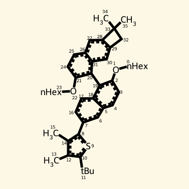 CCCCCCOc1ccc2cc(-c3sc(C(C)(C)C)c(C)c3C)ccc2c1-c1c(OCCCCCC)ccc2cc3c(cc12)CC3(C)C